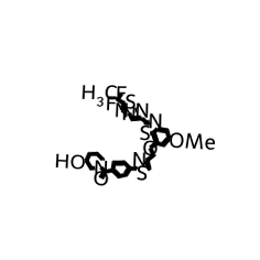 COc1cc(OCc2csc(-c3ccc(C(=O)N4CCCC(O)C4)cc3)n2)c2sc(-c3cn4nc(C(C)(F)F)sc4n3)nc2c1